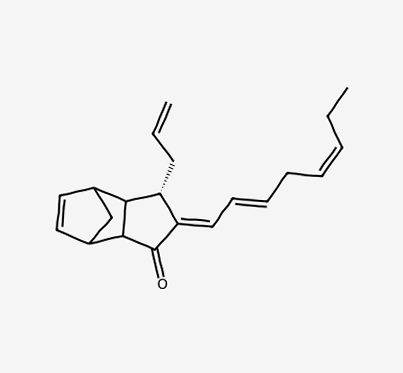 C=CC[C@@H]1/C(=C\C=C\C/C=C\CC)C(=O)C2C3C=CC(C3)C21